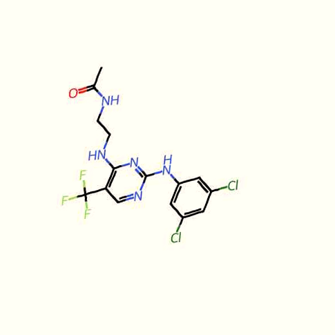 CC(=O)NCCNc1nc(Nc2cc(Cl)cc(Cl)c2)ncc1C(F)(F)F